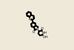 O=C1NC(O)CCC1N1Cc2cc(-c3ccc4ccccc4n3)ccc2C1=O